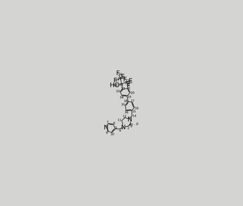 C[C@@H]1CN(Cc2ccncc2)CCN1Cc1ccc(-c2ccc(C(O)(C(F)(F)F)C(F)(F)F)cc2)cc1